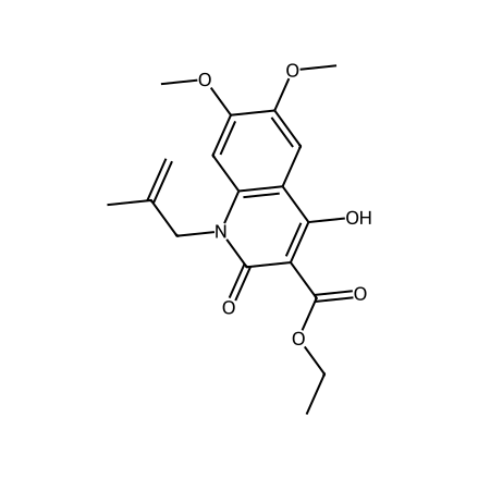 C=C(C)Cn1c(=O)c(C(=O)OCC)c(O)c2cc(OC)c(OC)cc21